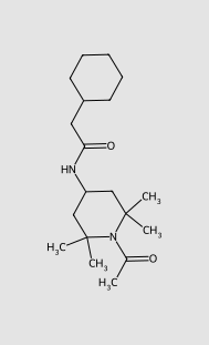 CC(=O)N1C(C)(C)CC(NC(=O)CC2CCCCC2)CC1(C)C